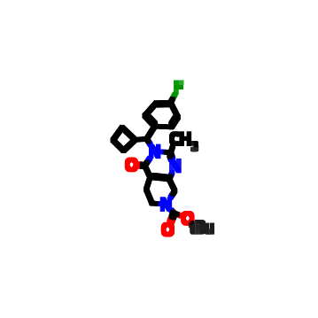 Cc1nc2c(c(=O)n1C(c1ccc(F)cc1)C1CCC1)CCN(C(=O)OC(C)(C)C)C2